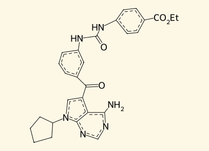 CCOC(=O)c1ccc(NC(=O)Nc2cccc(C(=O)c3cn(C4CCCC4)c4ncnc(N)c34)c2)cc1